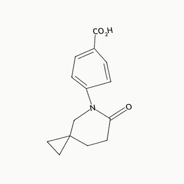 O=C(O)c1ccc(N2CC3(CCC2=O)CC3)cc1